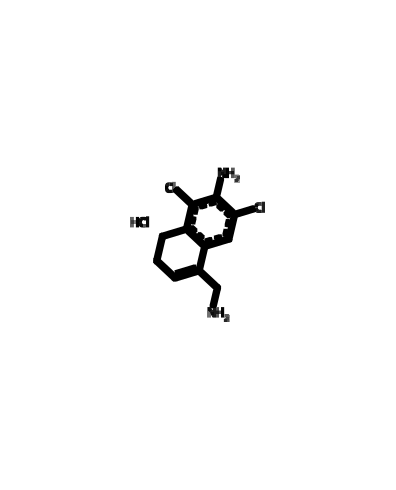 Cl.NCC1=CCCc2c1cc(Cl)c(N)c2Cl